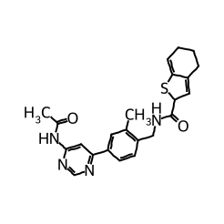 CC(=O)Nc1cc(-c2ccc(CNC(=O)C3C=C4CCCC=C4S3)c(C)c2)ncn1